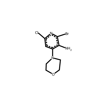 Nc1c(N2CCOCC2)cc(Cl)nc1Br